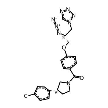 [N-]=[N+]=N[C@@H](COc1ccc(C(=O)N2CC[C@H](c3ccc(Cl)cc3)C2)cc1)Cn1cnnn1